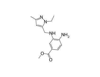 CCn1nc(C)cc1CNc1cc(C(=O)OC)ccc1N